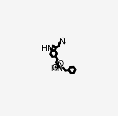 CN(C)CCc1c[nH]c2ccc(CCS(=O)(=O)NCCc3ccccc3)cc12